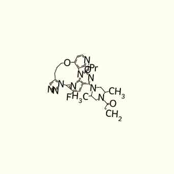 C=CC(=O)N1CC(C)N(c2nc(=O)n3c4nc(c(F)cc24)-n2nncc2CCCOc2ccnc(C(C)C)c2-3)CC1C